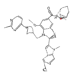 COc1cc(C(=O)N2CC3CCC2[C@@H]3N)cc2nc(-c3cc4cc(Cl)ccc4n3C)n(CC3CN(c4ccnc(C)n4)C3)c12